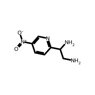 NCC(N)c1ccc([N+](=O)[O-])cn1